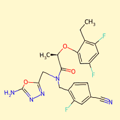 CCc1c(F)cc(F)cc1O[C@H](C)C(=O)N(Cc1nnc(N)o1)Cc1ccc(C#N)cc1F